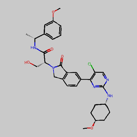 COc1cccc([C@@H](C)NC(=O)[C@@H](CO)N2Cc3ccc(-c4nc(N[C@H]5CC[C@H](OC)CC5)ncc4Cl)cc3C2=O)c1